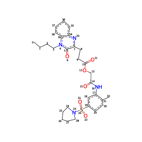 CCCCn1c(=O)c(CCC(=O)OCC(=O)Nc2cc(S(=O)(=O)N3CCCCC3)ccc2C)nc2ccccc21